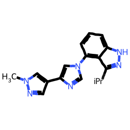 CC(C)c1n[nH]c2cccc(-n3cnc(-c4cnn(C)c4)c3)c12